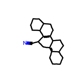 N#CC1CC2=C3CCCCC3CCC2C2=C1C1CCCCC1CC2